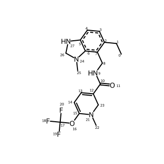 CCc1ccc2c(c1CNC(=O)C1=CC=C(OC(F)(F)F)N(C)C1)N(C)CN2